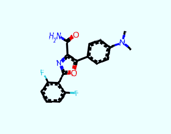 CN(C)c1ccc(-c2oc(-c3c(F)cccc3F)nc2C(N)=O)cc1